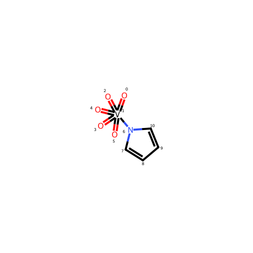 [O]=[V](=[O])(=[O])(=[O])(=[O])[n]1cccc1